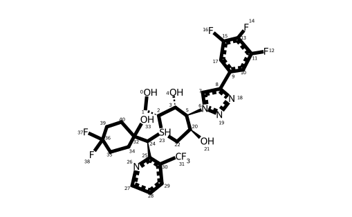 OC[C@@H]1[C@H](O)[C@@H](n2cc(-c3cc(F)c(F)c(F)c3)nn2)[C@@H](O)C[SH]1[C@@H](c1ncccc1C(F)(F)F)C1(O)CCC(F)(F)CC1